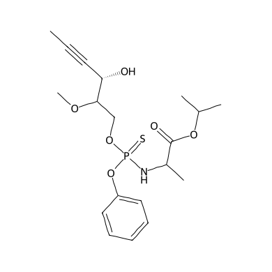 CC#C[C@H](O)C(COP(=S)(NC(C)C(=O)OC(C)C)Oc1ccccc1)OC